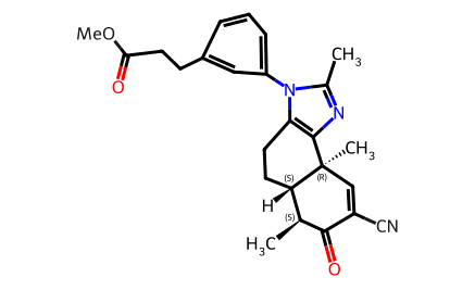 COC(=O)CCc1cccc(-n2c(C)nc3c2CC[C@H]2[C@H](C)C(=O)C(C#N)=C[C@]32C)c1